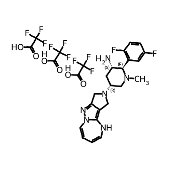 CN1C[C@H](N2Cc3nn4c(c3C2)NC=CC=C4)C[C@H](N)[C@H]1c1cc(F)ccc1F.O=C(O)C(F)(F)F.O=C(O)C(F)(F)F.O=C(O)C(F)(F)F